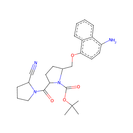 CC(C)(C)OC(=O)N1C(COc2ccc(N)c3ccccc23)CCC1C(=O)N1CCCC1C#N